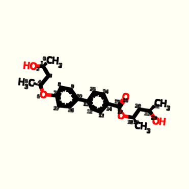 C[C@H](O)C[C@@H](C)Oc1ccc(-c2ccc(C(=O)O[C@@H](C)C[C@@H](C)O)cc2)cc1